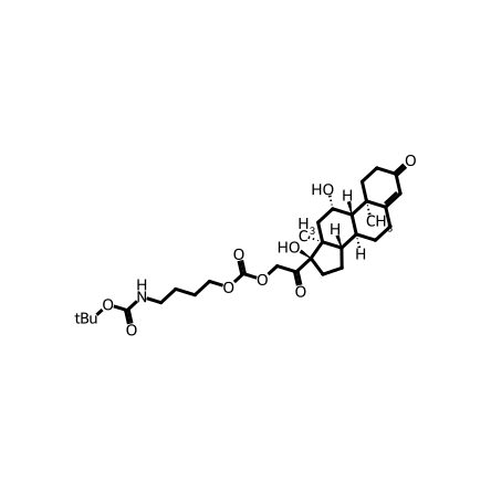 CC(C)(C)OC(=O)NCCCCOC(=O)OCC(=O)[C@@]1(O)CC[C@H]2[C@@H]3CCC4=CC(=O)CC[C@]4(C)[C@H]3[C@@H](O)C[C@@]21C